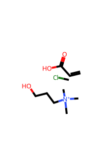 C=CC(=O)O.CCl.C[N+](C)(C)CCCO